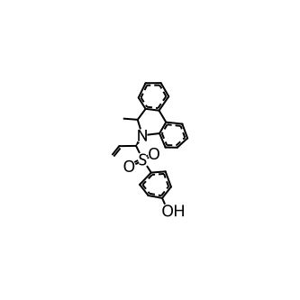 C=C[C@@H](N1c2ccccc2-c2ccccc2C1C)S(=O)(=O)c1ccc(O)cc1